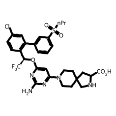 CCCS(=O)(=O)c1cccc(-c2cc(Cl)ccc2[C@@H](Oc2cc(N3CCC4(CC3)CNC(C(=O)O)C4)nc(N)n2)C(F)(F)F)c1